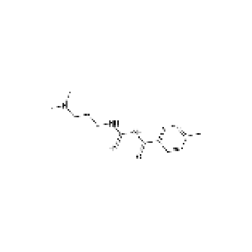 Cc1ccc(C(=O)NC(=N)NCCCN(C)C)cc1